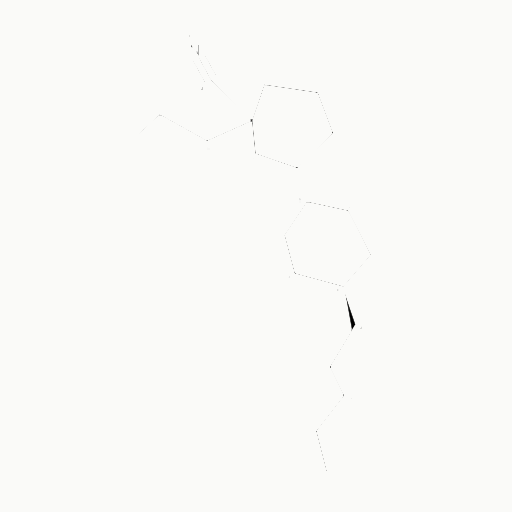 CCCCC[C@H]1CC[C@H](C2CCCC(C#N)(CCC)C2)CC1